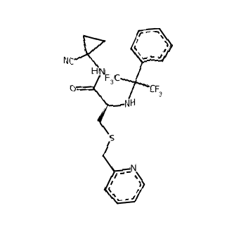 N#CC1(NC(=O)[C@H](CSCc2ccccn2)NC(c2ccccc2)(C(F)(F)F)C(F)(F)F)CC1